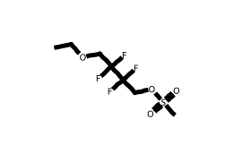 CCOCC(F)(F)C(F)(F)COS(C)(=O)=O